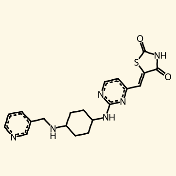 O=C1NC(=O)/C(=C/c2ccnc(NC3CCC(NCc4cccnc4)CC3)n2)S1